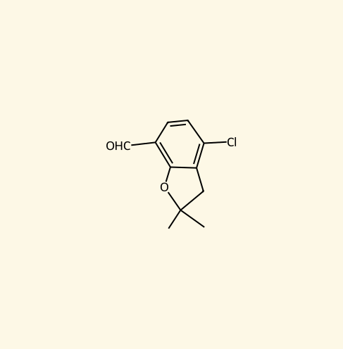 CC1(C)Cc2c(Cl)ccc(C=O)c2O1